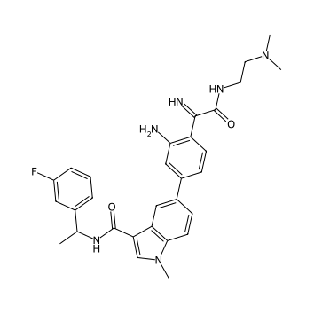 CC(NC(=O)c1cn(C)c2ccc(-c3ccc(C(=N)C(=O)NCCN(C)C)c(N)c3)cc12)c1cccc(F)c1